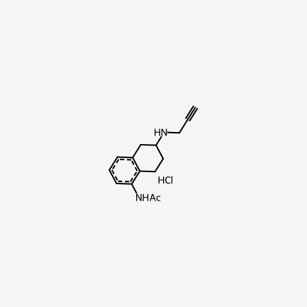 C#CCNC1CCc2c(cccc2NC(C)=O)C1.Cl